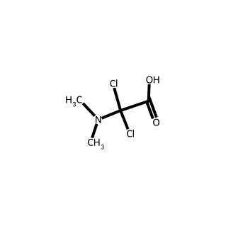 CN(C)C(Cl)(Cl)C(=O)O